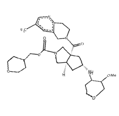 COC1COCCC1N[C@@H]1C[C@H]2CN(C(=O)OCC3CCOCC3)C[C@@]2(C(=O)N2CCc3ncc(C(F)(F)F)cc3C2)C1